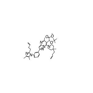 C=CCCc1nc(C)c(C)n1-c1cccc(-c2cc3nc(C)c(C(OC(C)(C)C)C(=O)OC)c(N4CCC(C)(CCC=C)CC4)n3n2)c1